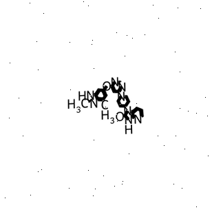 Cc1nc2c(C)cc(Oc3cc(N4CCC(n5c(=O)[nH]c6ncccc65)CC4)ncn3)cc2[nH]1